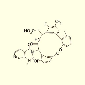 Cc1cccc2c1-c1cc(c(F)c(C(F)(F)F)c1)C(CC(=O)O)NC(=O)C(n1c(=O)c3ccncc3n(C)c1=O)c1cc(ccc1F)CO2